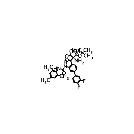 Cc1cc(C)c(NC(=O)Nc2cc(-c3ccc(F)c(F)c3)ccc2C(=O)[C@@](N)(C(=O)O)[C@@H](C)OC(C)(C)C)c(C)c1